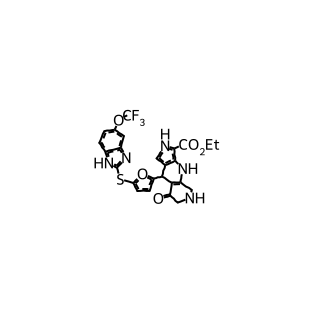 CCOC(=O)c1[nH]cc2c1NC1=C(C(=O)CNC1)C2c1ccc(Sc2nc3cc(OC(F)(F)F)ccc3[nH]2)o1